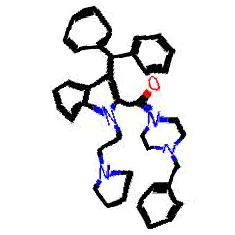 O=C(c1c(C(c2ccccc2)c2ccccc2)c2ccccc2n1CCN1CCCC1)N1CCN(Cc2ccccc2)CC1